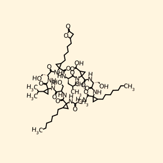 CCCCCCCC1CC1(NC(=O)[C@@H](CO)NC(=O)C1(NC(=O)[C@@H](CC(C)C)NC(=O)C2(NC(=O)[C@@H](CO)NC(=O)C3(NC(=O)C(CO)NC(=O)C4(NC(C)=O)CC4CCCCCCC)CC3C(C)C)CC2CCCCCC2CC(=O)O2)CC1C(=O)O)C(N)=O